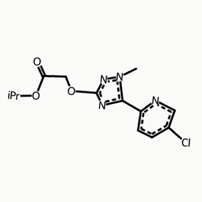 CC(C)OC(=O)COc1nc(-c2ccc(Cl)cn2)n(C)n1